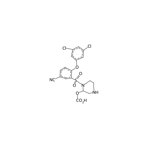 N#Cc1ccc(Oc2cc(Cl)cc(Cl)c2)c(S(=O)(=O)N2CCNCC2OC(=O)O)c1